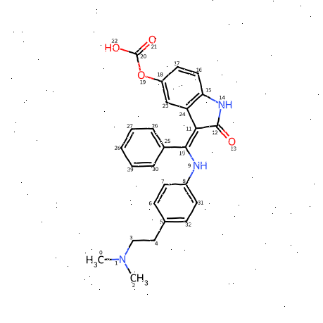 CN(C)CCc1ccc(N/C(=C2\C(=O)Nc3ccc(OC(=O)O)cc32)c2ccccc2)cc1